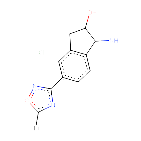 CCc1nc(-c2ccc3c(c2)CC(O)C3N)no1.Cl